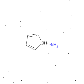 N[SiH]1C=CC=C1